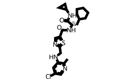 Cc1ncc(Cl)cc1NCc1ncc(C(=O)N[C@@H](CC2CCCCC2)C(=O)NC2CC2)s1